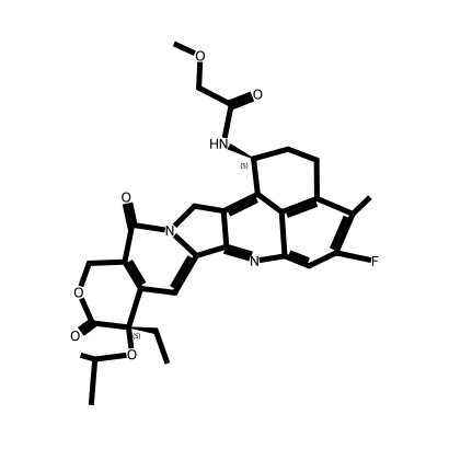 CC[C@@]1(OC(C)C)C(=O)OCc2c1cc1n(c2=O)Cc2c-1nc1cc(F)c(C)c3c1c2[C@@H](NC(=O)COC)CC3